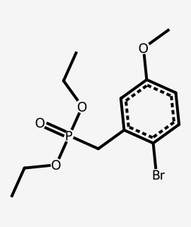 CCOP(=O)(Cc1cc(OC)ccc1Br)OCC